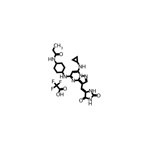 CCC(=O)NC1CCC(Nc2cc(NC3CC3)n3ncc(/C=C4\NC(=O)NC4=O)c3n2)CC1.O=C(O)C(F)(F)F